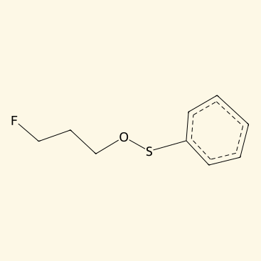 FCCCOSc1ccccc1